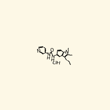 CCCc1c(C)n(C)c2ccc(NC(=O)Nc3cccnc3)cc12.Cl